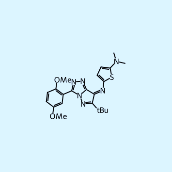 COc1ccc(OC)c(-c2nnc3n2N=C(C(C)(C)C)/C3=N/c2ccc(N(C)C)s2)c1